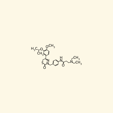 CCN(CC)CCC(=O)Nc1ccc(CN2N=C(c3ccc(OC)c(OC(C)C)c3)CSC2=O)cc1